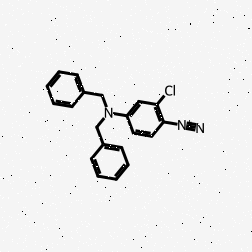 N#[N+]c1ccc(N(Cc2ccccc2)Cc2ccccc2)cc1Cl